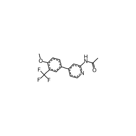 COc1ccc(-c2ccnc(NC(C)=O)c2)cc1C(F)(F)F